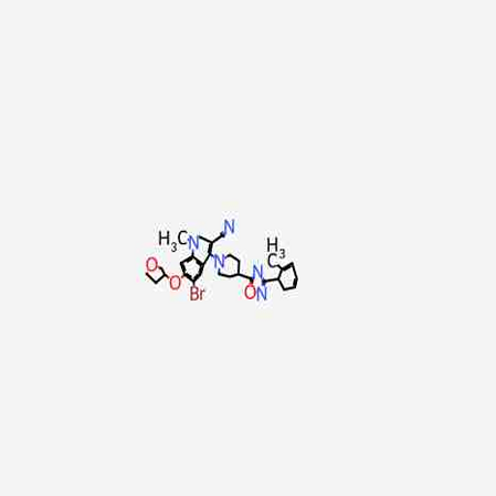 CC1=CC=CCC1c1noc(C2CCN(C3=C(C#N)CN(C)c4cc(OC5CCOC5)c(Br)cc43)CC2)n1